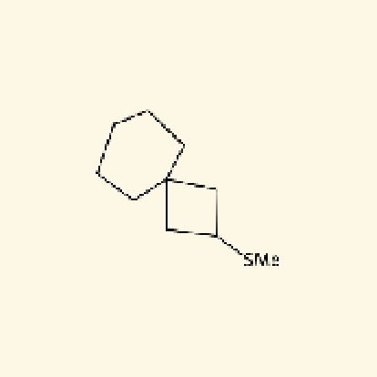 CSC1CC2(CCCCC2)C1